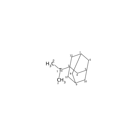 [CH3][Ti]([CH3])[C]12CC3CC(CC(C3)C1)C2